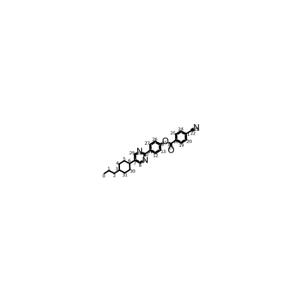 CCCC1CCC(c2cnc(-c3ccc(OC(=O)c4ccc(C#N)cc4)cc3)nc2)CC1